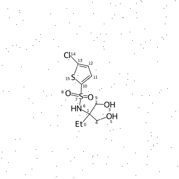 CCC(CO)(CO)NS(=O)(=O)c1ccc(Cl)s1